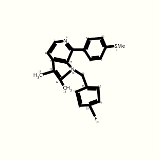 CSc1ccc(-c2nccc3c(C)c(C)n(Cc4ccc(F)cc4)c23)cc1